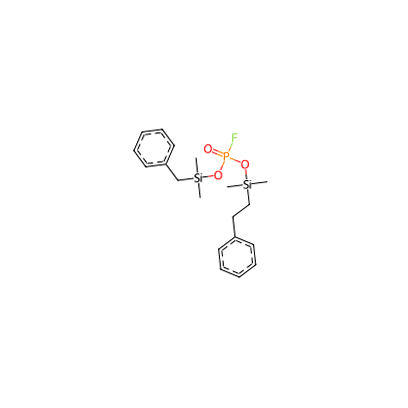 C[Si](C)(CCc1ccccc1)OP(=O)(F)O[Si](C)(C)Cc1ccccc1